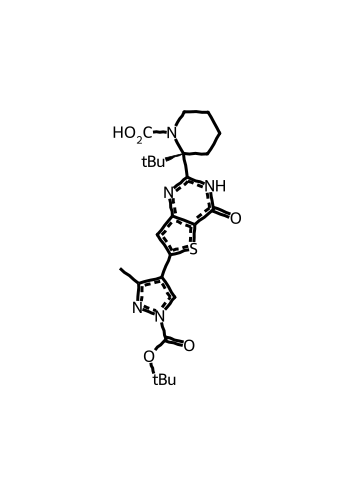 Cc1nn(C(=O)OC(C)(C)C)cc1-c1cc2nc([C@@]3(C(C)(C)C)CCCCN3C(=O)O)[nH]c(=O)c2s1